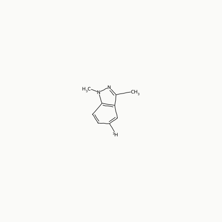 [3H]c1ccc2c(c1)c(C)nn2C